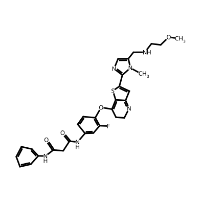 COCCNCc1cnc(-c2cc3c(s2)=C(Oc2ccc(NC(=O)CC(=O)Nc4ccccc4)cc2F)CCN=3)n1C